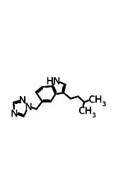 CC(C)CCc1c[nH]c2ccc(Cn3cncn3)cc12